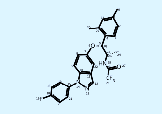 Cc1ccc([C@@H](Oc2ccc3c(cnn3-c3ccc(F)cc3)c2)[C@H](C)NC(=O)C(F)(F)F)c(C)c1